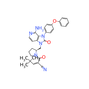 CC(C)(C)/C=C(/C#N)C(=O)N1CCC[C@H]1Cn1c(=O)n(-c2ccc(Oc3ccccc3)cc2)c2c(N)nccc21